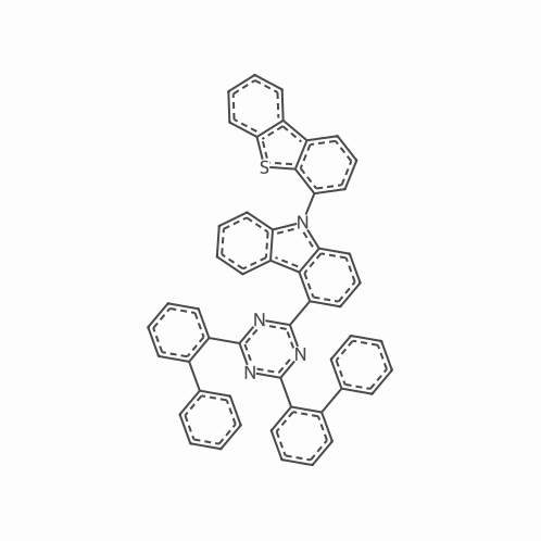 c1ccc(-c2ccccc2-c2nc(-c3ccccc3-c3ccccc3)nc(-c3cccc4c3c3ccccc3n4-c3cccc4c3sc3ccccc34)n2)cc1